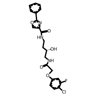 O=C(COc1ccc(Cl)c(F)c1)NC[C@@H](O)CCNC(=O)c1coc(-c2ccccc2)n1